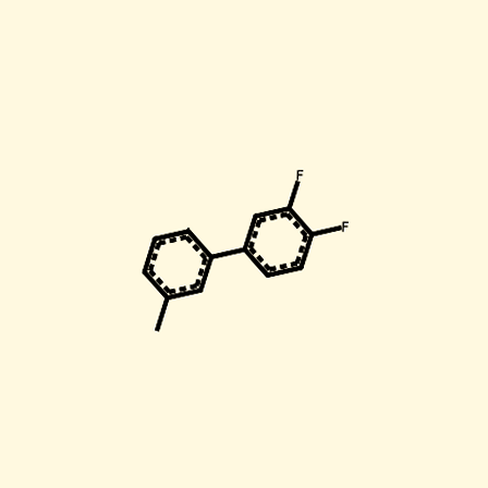 Cc1cc[c]c(-c2ccc(F)c(F)c2)c1